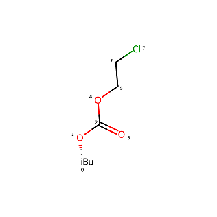 CC[C@@H](C)OC(=O)OCCCl